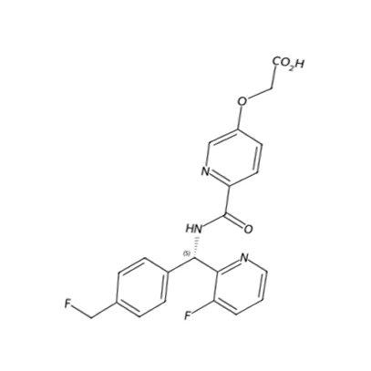 O=C(O)COc1ccc(C(=O)N[C@@H](c2ccc(CF)cc2)c2ncccc2F)nc1